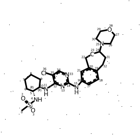 CS(=O)(=O)N[C@@H]1CCCC[C@H]1Nc1nc(Nc2ccc3c(c2)CCC(N2CCOCC2)CC3)ncc1Cl